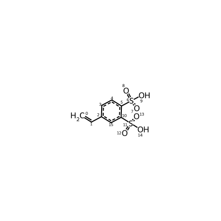 C=Cc1ccc(S(=O)(=O)O)c(S(=O)(=O)O)c1